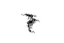 COCCNC(=O)[C@@H](CO)NC(=O)N[C@H](CC(N)=O)C(=O)NNC[C@H](NC(=O)COC)C(C)O